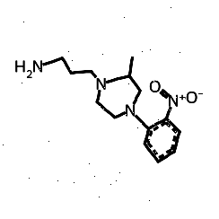 CC1CN(c2ccccc2[N+](=O)[O-])CCN1CCCN